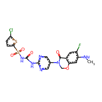 CNc1cc2c(cc1F)C(=O)N(c1cnc(NC(=O)NS(=O)(=O)c3ccc(Cl)s3)nc1)CO2